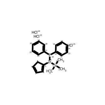 C[Si](C)(C)[Zr]([C]1=CC=CC1)[P](c1ccccc1)c1ccccc1.Cl.Cl.Cl